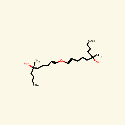 CCCCCCCCCCCCCC(C)(O)CCCC=COC=CCCCC(C)(O)CCCCCCCCCCCCC